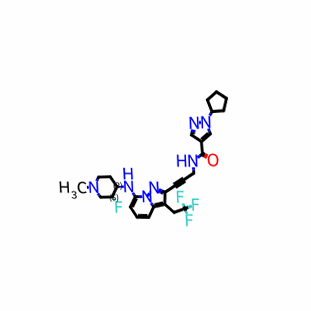 CN1CC[C@@H](Nc2cccc3c(CC(F)(F)F)c(C#CCNC(=O)c4cnn(C5CCCC5)c4)nn23)[C@@H](F)C1